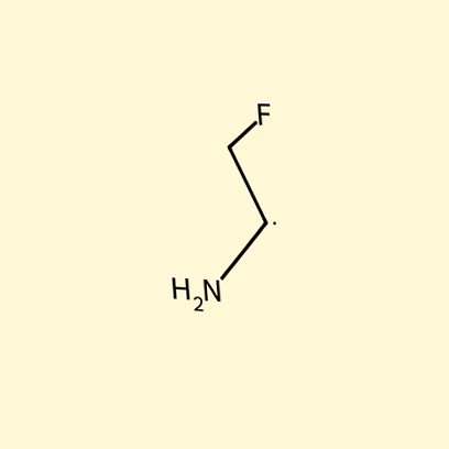 N[CH]CF